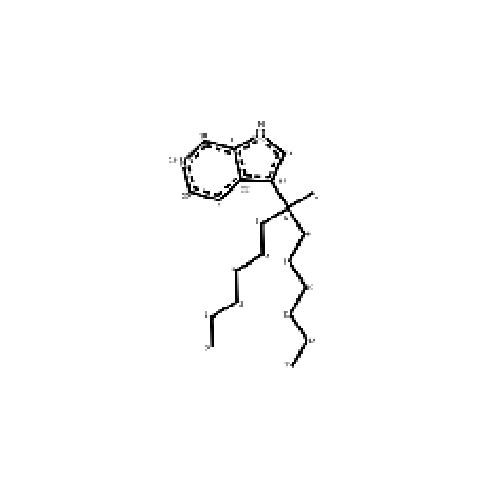 CCCCCCC(C)(CCCCCC)c1coc2cnccc12